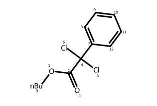 CCCCOC(=O)C(Cl)(Cl)c1ccccc1